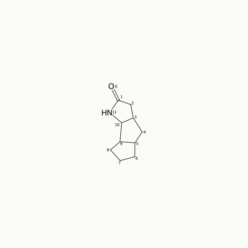 O=C1CC2CC3CCCC3C2N1